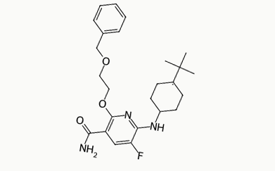 CC(C)(C)[C]1CCC(Nc2nc(OCCOCc3ccccc3)c(C(N)=O)cc2F)CC1